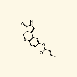 CC=CC(=O)Oc1ccc2c(c1)C1=NNC(=O)C1CS2